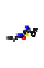 CCc1ccccc1-c1ccnc2cc(C(=O)NCCC(=O)O)sc12